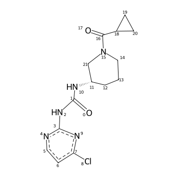 O=C(Nc1nccc(Cl)n1)N[C@H]1CCCN(C(=O)C2CC2)C1